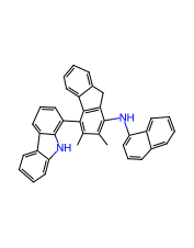 Cc1c(C)c(-c2cccc3c2[nH]c2ccccc23)c2c(c1Nc1cccc3ccccc13)Cc1ccccc1-2